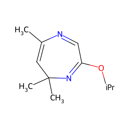 CC1=CC(C)(C)N=C(OC(C)C)C=N1